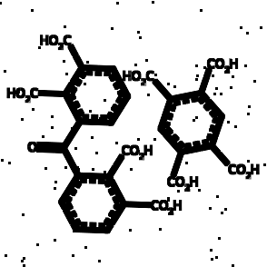 O=C(O)c1cc(C(=O)O)c(C(=O)O)cc1C(=O)O.O=C(O)c1cccc(C(=O)c2cccc(C(=O)O)c2C(=O)O)c1C(=O)O